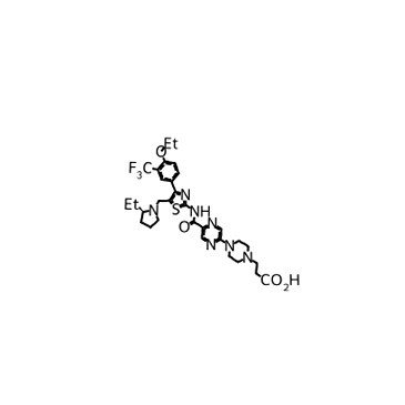 CCOc1ccc(-c2nc(NC(=O)c3cnc(N4CCN(CCC(=O)O)CC4)cn3)sc2CN2CCC[C@H]2CC)cc1C(F)(F)F